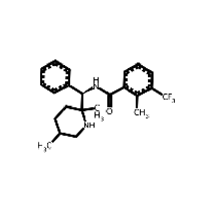 Cc1c(C(=O)N[C@H](c2ccccc2)C2(C)CCC(C)CN2)cccc1C(F)(F)F